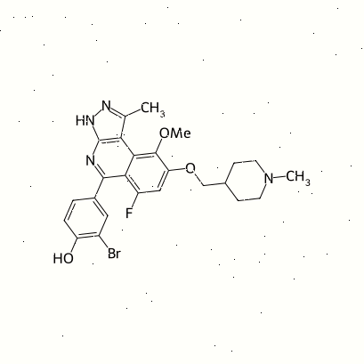 COc1c(OCC2CCN(C)CC2)cc(F)c2c(-c3ccc(O)c(Br)c3)nc3[nH]nc(C)c3c12